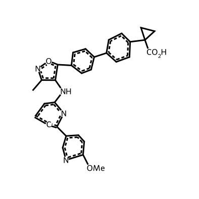 COc1ccc(-c2cccc(Nc3c(C)noc3-c3ccc(-c4ccc(C5(C(=O)O)CC5)cc4)cc3)n2)cn1